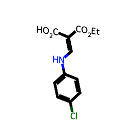 CCOC(=O)C(=CNc1ccc(Cl)cc1)C(=O)O